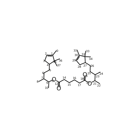 CC1=CCC(CCC(C)C(C)OC(=O)CCCCC(=O)OC(C)C(C)CCC2CC=C(C)C2(C)C)C1(C)C